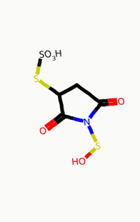 O=C1CC(SS(=O)(=O)O)C(=O)N1SO